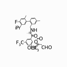 Cc1ccc(-c2cc(C(C)C)c(F)cc2C)c(CN[C@@H](C)[C@H](OC(=O)O[C@H](C=O)CC=O)c2cc(C(F)(F)F)cc(C(F)(F)F)c2)c1